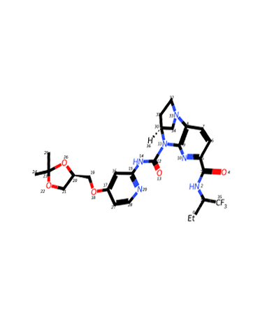 CCC(NC(=O)c1ccc2c(n1)N(C(=O)Nc1cc(OC[C@H]3COC(C)(C)O3)ccn1)[C@H]1CCN2C1)C(F)(F)F